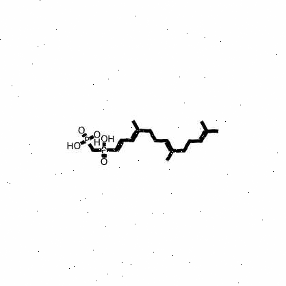 CC(C)=CCCC(C)=CCCC(C)=CC=CP(=O)(O)CP(=O)(O)O